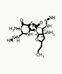 CCCC1C[C@@](N)([C@H](C)NN=N)[C@H](n2c3c(sc2=O)C(=O)N(N)C(NN=N)N3)O1